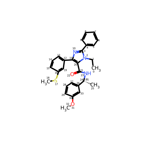 CCn1c(-c2ccccc2)nc(-c2cccc(SC)c2)c1C(=O)N[C@H](C)c1cccc(OC)c1